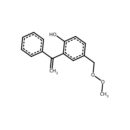 C=C(c1ccccc1)c1cc(COOC)ccc1O